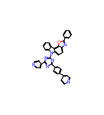 c1ccc(-c2nc3ccc4c(c5ccccc5n4-c4nc(-c5ccncc5)nc(-c5ccc(-c6ccncc6)cc5)n4)c3o2)cc1